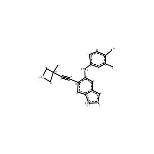 Cc1cc(Nc2cc3cn[nH]c3cc2C#CC2(C)COC2)ccc1F